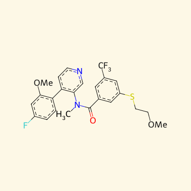 COCCSc1cc(C(=O)N(C)c2cnccc2-c2ccc(F)cc2OC)cc(C(F)(F)F)c1